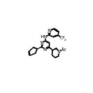 CC(=O)N1CCCC(c2cc(Nc3cc(C(F)(F)F)ccn3)nc(C3CCCC3)n2)C1